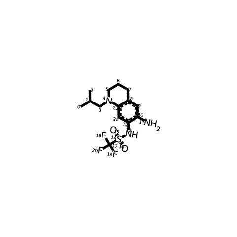 CC(C)CN1CCCc2cc(N)c(NS(=O)(=O)C(F)(F)F)cc21